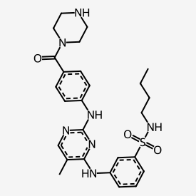 CCCCNS(=O)(=O)c1cccc(Nc2nc(Nc3ccc(C(=O)N4CCNCC4)cc3)ncc2C)c1